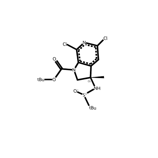 CC(C)(C)OC(=O)N1C[C@@](C)(N[S+]([O-])C(C)(C)C)c2cc(Cl)nc(Cl)c21